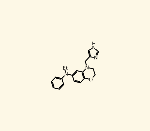 CCN(c1ccccc1)c1ccc2c(c1)N(Cc1c[nH]cn1)CCO2